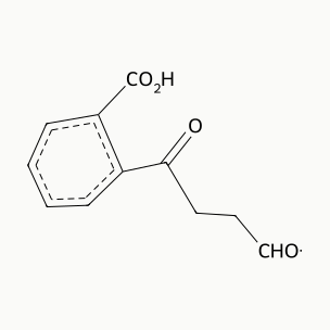 O=[C]CCC(=O)c1ccccc1C(=O)O